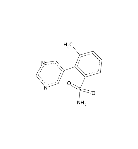 Cc1cccc(S(N)(=O)=O)c1-c1cncnc1